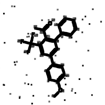 COc1ccc(-c2cc(-c3ccccc3)c(C(C)=O)c(C(F)(F)F)c2)cc1